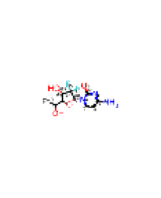 CCC(O)C1O[C@@H](n2ccc(N)nc2=O)C(F)(F)[C@@H]1O